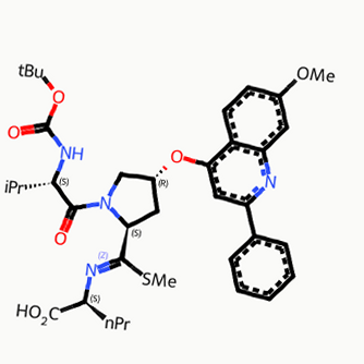 CCC[C@H](/N=C(\SC)[C@@H]1C[C@@H](Oc2cc(-c3ccccc3)nc3cc(OC)ccc23)CN1C(=O)[C@@H](NC(=O)OC(C)(C)C)C(C)C)C(=O)O